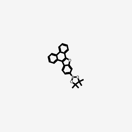 CC1(C)OB(c2ccc3c(c2)oc2c4ccccc4c4ccccc4c32)OC1(C)C